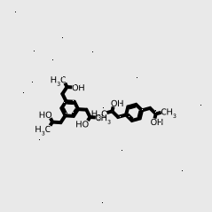 CC(O)Cc1cc(CC(C)O)cc(CC(C)O)c1.CC(O)Cc1ccc(CC(C)O)cc1